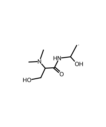 [CH2]C(O)NC(=O)C(CO)N(C)C